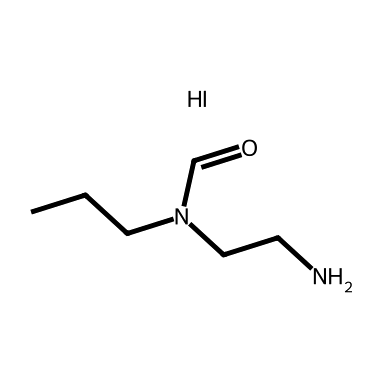 CCCN(C=O)CCN.I